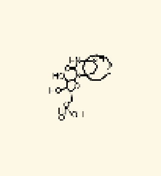 O=C1NC23CCCCCCCCC(CCC2O)(C3)N1C1OC(CO[PH](=O)O)C(O)C1O